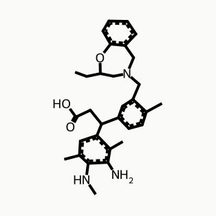 CCC1CN(Cc2cc(C(CC(=O)O)c3cc(C)c(NC)c(N)c3C)ccc2C)Cc2ccccc2O1